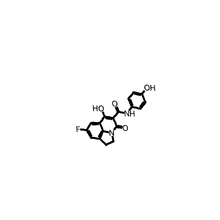 O=C(Nc1ccc(O)cc1)c1c(O)c2cc(F)cc3c2n(c1=O)CC3